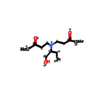 COC(=O)CCN(CCC(=O)OC)[C@H](CO)CC(C)C